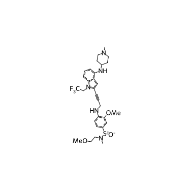 COCCN(C)[S+]([O-])c1ccc(NCC#Cc2cc3c(NC4CCN(C)CC4)cccc3n2CC(F)(F)F)c(OC)c1